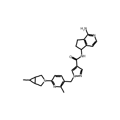 Cc1nc(N2CC3C(C)C3C2)ccc1Cn1cc(C(=O)NC2CCc3c2ccnc3N)cn1